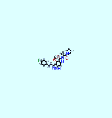 COc1c(C(=O)NC2(C(=O)N3CCCC3)CC2)ccc2[nH]nc(/C=C/c3ccc(F)cc3)c12